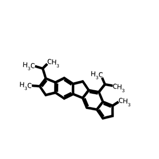 CC1=C(C(C)C)c2cc3c(cc2C1)-c1cc2c(c(C(C)C)c1C3)=C(C)CC=2